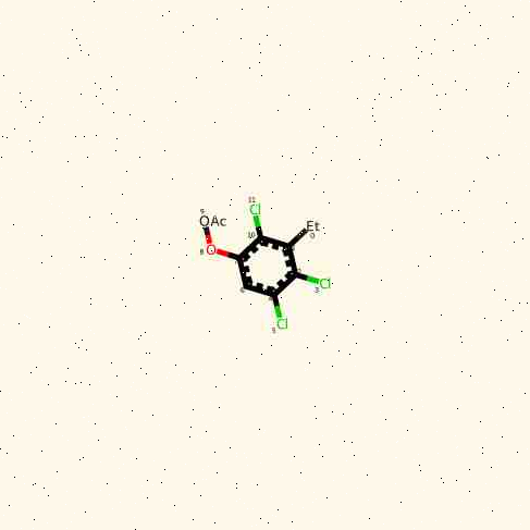 CCc1c(Cl)c(Cl)cc(OOC(C)=O)c1Cl